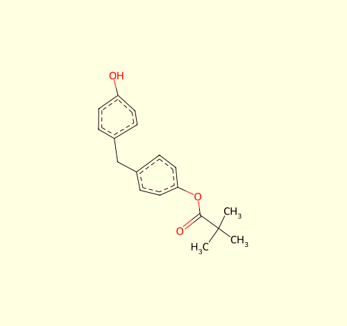 CC(C)(C)C(=O)Oc1ccc(Cc2ccc(O)cc2)cc1